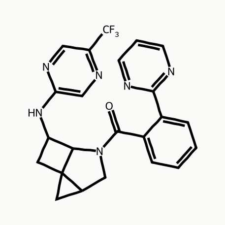 O=C(c1ccccc1-c1ncccn1)N1CC2CC23CC(Nc2cnc(C(F)(F)F)cn2)C13